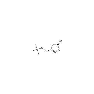 CC(C)(C)OCc1coc(=O)o1